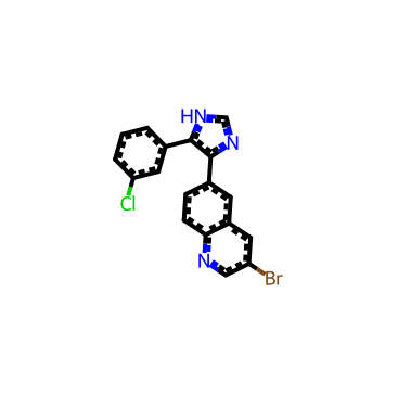 Clc1cccc(-c2[nH]cnc2-c2ccc3ncc(Br)cc3c2)c1